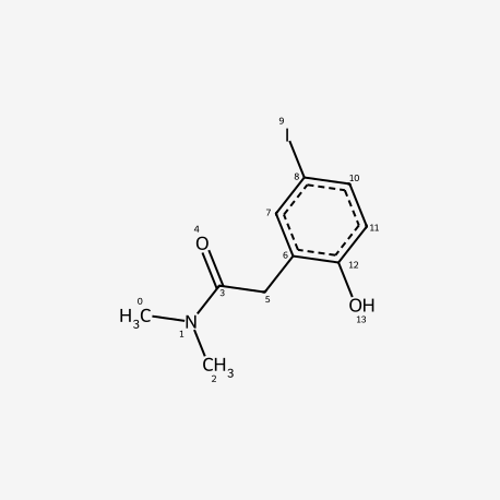 CN(C)C(=O)Cc1cc(I)ccc1O